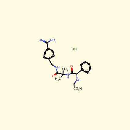 CC(C)(NC(=O)[C@H](NCC(=O)O)c1ccccc1)C(=O)NCc1ccc(C(=N)N)cc1.Cl